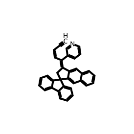 C#C/C=C\C(=C1/CC2(c3cc4ccccc4cc31)c1ccccc1-c1ccccc12)c1cccnc1